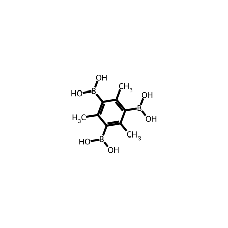 Cc1c(B(O)O)c(C)c(B(O)O)c(C)c1B(O)O